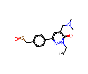 CC(C)Cn1nc(-c2ccc(C[S+]=O)cc2)cc(CN(C)C)c1=O